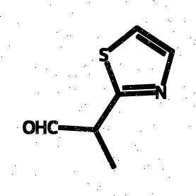 CC(C=O)c1nccs1